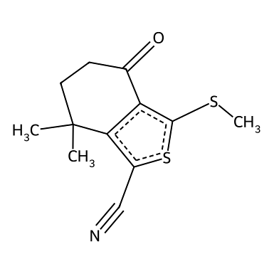 CSc1sc(C#N)c2c1C(=O)CCC2(C)C